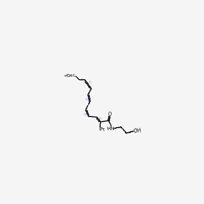 CCCCCCCCCCC\C=C/C=C/C=C\C=C(\C(=O)NCCO)C(C)C